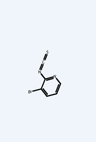 S=C=Nc1ncccc1Br